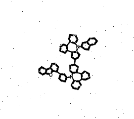 c1cc(-c2cccc3c2oc2ccccc23)cc(N2c3ccccc3-c3ccccc3-c3cc(-c4ccc5c(c4)-c4ccccc4-c4ccccc4N5c4ccc5ccccc5c4)ccc32)c1